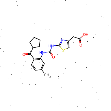 Cc1ccc(C(=O)C2CCCC2)c(NC(=O)Nc2nc(CC(=O)O)cs2)c1